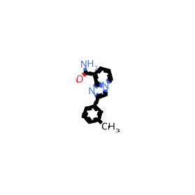 Cc1cccc(-c2cn3cccc(C(N)=O)c3n2)c1